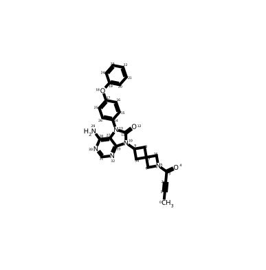 CC#CC(=O)N1CC2(CC(n3c(=O)n(-c4ccc(Oc5ccccc5)cc4)c4c(N)ncnc43)C2)C1